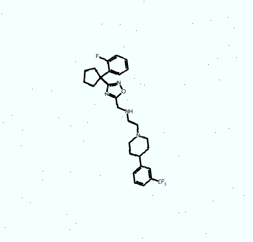 Fc1ccccc1C1(c2noc(CNCCN3CCC(c4cccc(C(F)(F)F)c4)CC3)n2)CCCC1